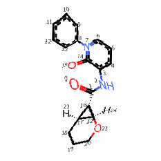 O=C(Nc1cccn(-c2ccccc2)c1=O)[C@H]1[C@@H]2CCCO[C@@H]21